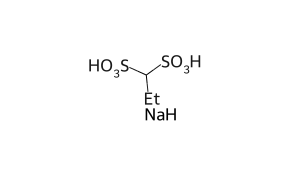 CCC(S(=O)(=O)O)S(=O)(=O)O.[NaH]